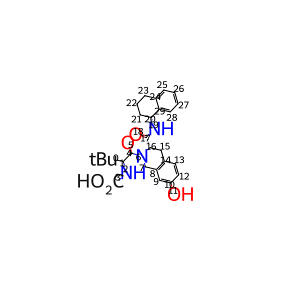 CC(C)(C)C(NC(=O)O)C(=O)N1Cc2cc(O)ccc2C[C@H]1C(=O)N[C@@H]1CCCc2ccccc21